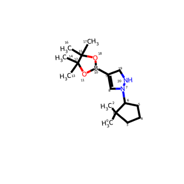 CC1(C)CCCC1N1C=C(B2OC(C)(C)C(C)(C)O2)CN1